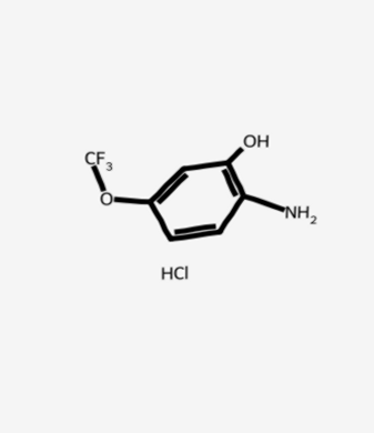 Cl.Nc1ccc(OC(F)(F)F)cc1O